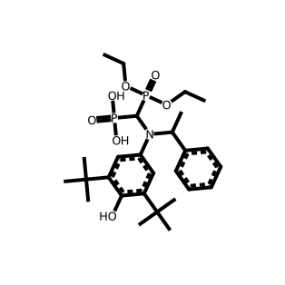 CCOP(=O)(OCC)C(N(c1cc(C(C)(C)C)c(O)c(C(C)(C)C)c1)C(C)c1ccccc1)P(=O)(O)O